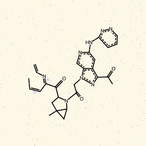 C=C/N=C(\C=C/C)C(=O)C1CC2(C)CC2N1C(=O)Cn1nc(C(C)=O)c2cc(Nc3cccnn3)ncc21